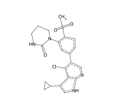 CS(=O)(=O)c1ccc(-c2cnc3[nH]cc(C4CC4)c3c2Cl)cc1N1CCCNC1=O